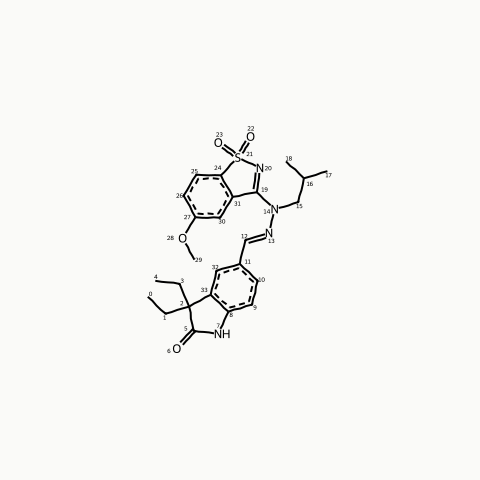 CCC1(CC)C(=O)Nc2ccc(/C=N/N(CC(C)C)C3=NS(=O)(=O)c4ccc(OC)cc43)cc21